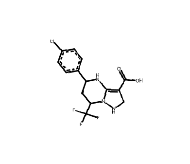 O=C(O)C1=C2NC(c3ccc(Cl)cc3)CC(C(F)(F)F)N2NC1